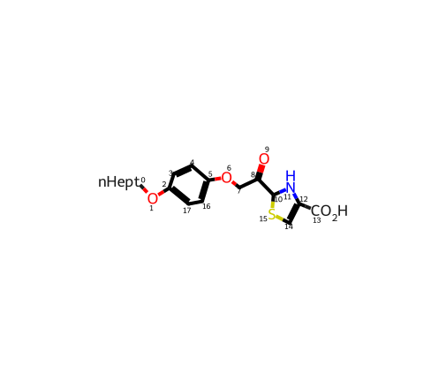 CCCCCCCOc1ccc(OCC(=O)C2NC(C(=O)O)=CS2)cc1